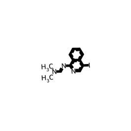 CN(C)C=Nc1ncc(I)c2ccccc12